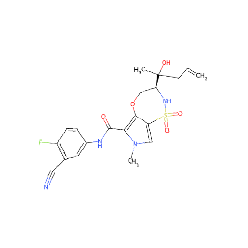 C=CCC(C)(O)[C@@H]1COc2c(cn(C)c2C(=O)Nc2ccc(F)c(C#N)c2)S(=O)(=O)N1